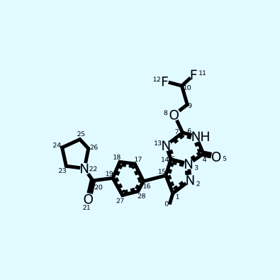 Cc1nn2c(=O)[nH]c(OCC(F)F)nc2c1-c1ccc(C(=O)N2CCCC2)cc1